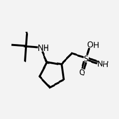 CC(C)(C)NC1CCCC1CS(=N)(=O)O